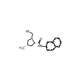 C[C@H]1C[C@@H](C(=O)Nc2ccc3ccccc3c2)N(CC#N)C1